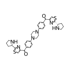 O=C(c1ccc(N2CCN(c3ccc(C(=O)c4csc([C@@H]5CCCN5)n4)cc3)CC2)cc1)c1csc(C2CCCN2)n1